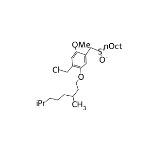 CCCCCCCC[S+]([O-])Cc1cc(OCCC(C)CCCC(C)C)c(CCl)cc1OC